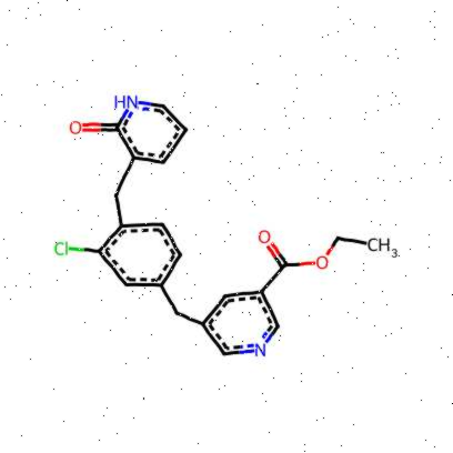 CCOC(=O)c1cncc(Cc2ccc(Cc3ccc[nH]c3=O)c(Cl)c2)c1